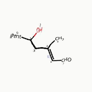 CCCC(C)C(O)C/C(C)=C/C=O